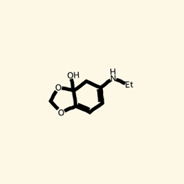 CCNC1=CC=C2OCOC2(O)C1